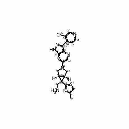 Cc1csc([C@]2(CN)[C@@H]3CN(c4cnc5c(-c6ccncc6Cl)n[nH]c5n4)C[C@@H]32)n1